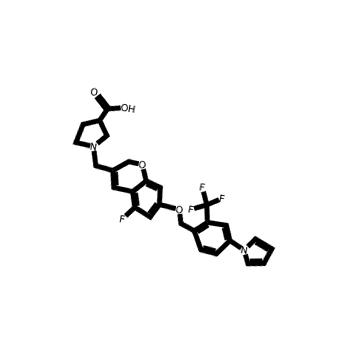 O=C(O)C1CCN(CC2=Cc3c(F)cc(OCc4ccc(-n5cccc5)cc4C(F)(F)F)cc3OC2)C1